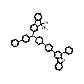 CC1(C)c2ccccc2-c2ccc(N(c3ccc(-c4ccccc4)cc3)c3ccc(-c4ccc(-c5cc(-c6ccccc6)c6oc7ccccc7c6c5)cc4)cc3)cc21